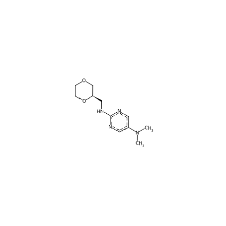 CN(C)c1cnc(NC[C@@H]2COCCO2)nc1